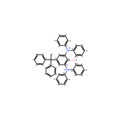 CC(c1ccccc1)(c1ccccc1)c1cc2c3c(c1)N(c1ccccc1)c1ccccc1B3c1ccccc1N2c1ccccc1